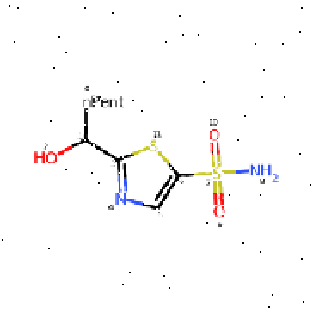 CCCCCC(O)c1ncc(S(N)(=O)=O)s1